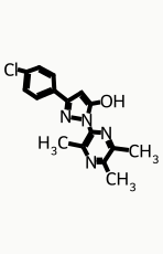 Cc1nc(C)c(-n2nc(-c3ccc(Cl)cc3)cc2O)nc1C